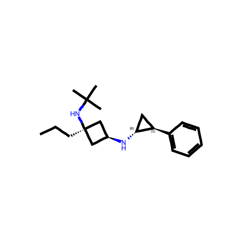 CCC[C@]1(NC(C)(C)C)C[C@@H](N[C@@H]2C[C@H]2c2ccccc2)C1